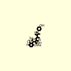 [2H]C([2H])([2H])[C@H](c1c(OC)ccc(F)c1Cl)c1c[nH]c2ncc(-c3cnn([C@H]4CC[C@H](O)CC4)c3C)cc12